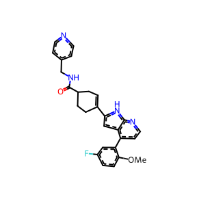 COc1ccc(F)cc1-c1ccnc2[nH]c(C3=CCC(C(=O)NCc4ccncc4)CC3)cc12